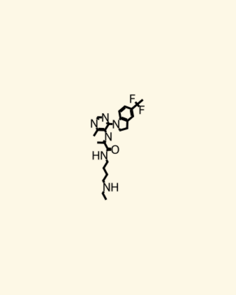 CCNCCCCNC(=O)/C(C)=N/c1c(C)ncnc1N1CCc2cc(C(C)(F)F)ccc21